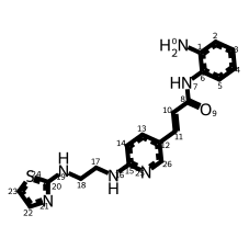 Nc1ccccc1NC(=O)C=Cc1ccc(NCCNc2nccs2)nc1